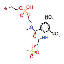 CN(CCOP(=O)(O)OCCBr)C(=O)c1cc([N+](=O)[O-])cc([N+](=O)[O-])c1NCCOS(C)(=O)=O